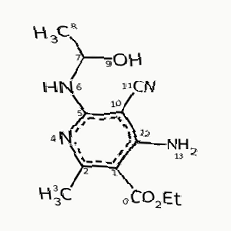 CCOC(=O)c1c(C)nc(NC(C)O)c(C#N)c1N